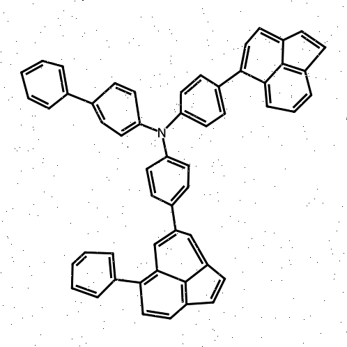 C1=Cc2ccc(-c3ccc(N(c4ccc(-c5ccccc5)cc4)c4ccc(-c5cc6c7c(ccc(-c8ccccc8)c7c5)C=C6)cc4)cc3)c3cccc1c23